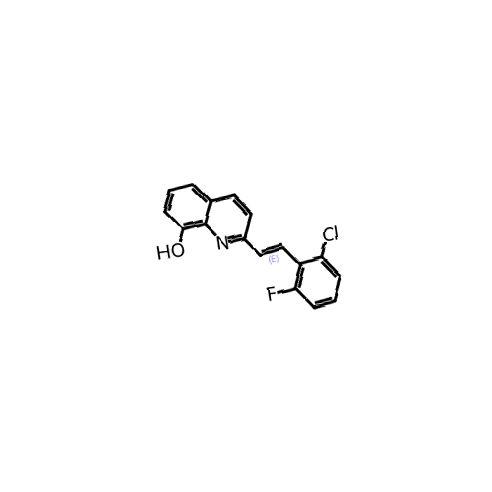 Oc1cccc2ccc(/C=C/c3c(F)cccc3Cl)nc12